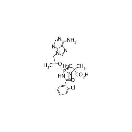 C[C@H](Cn1cnc2c(N)ncnc21)OC[P@@](=O)(NC(=O)c1ccccc1Cl)NC(C)(C)C(=O)O